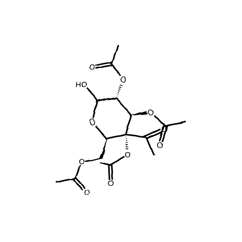 CC(=O)OC[C@H]1OC(O)[C@H](OC(C)=O)[C@@H](OC(C)=O)[C@@]1(OC(C)=O)C(C)=O